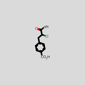 CCCC(=O)C(Cl)Cc1ccc(C(=O)O)cc1